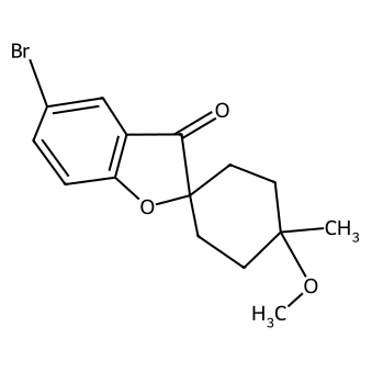 COC1(C)CCC2(CC1)Oc1ccc(Br)cc1C2=O